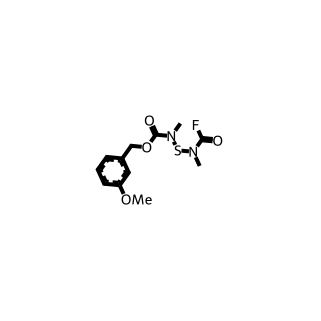 COc1cccc(COC(=O)N(C)SN(C)C(=O)F)c1